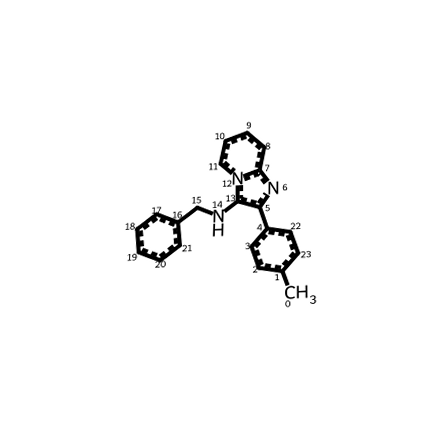 Cc1ccc(-c2nc3ccccn3c2NCc2ccccc2)cc1